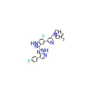 CN(C)Cc1cncc(-c2cc3c(-c4nc5c(-c6ccc(F)cc6)ccnc5[nH]4)n[nH]c3cc2F)c1